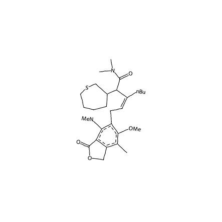 CCCCC(=CCc1c(NC)c2c(c(C)c1OC)COC2=O)C(C(=O)N(C)C)C1CCCCSC1